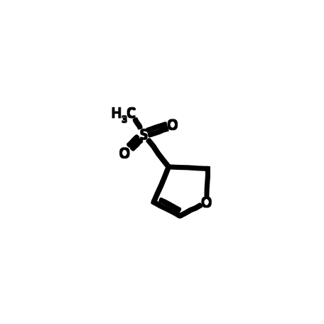 CS(=O)(=O)C1C=COC1